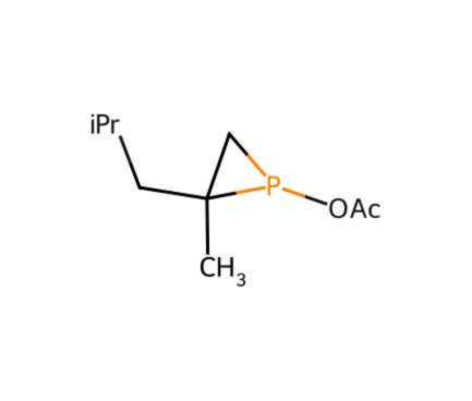 CC(=O)OP1CC1(C)CC(C)C